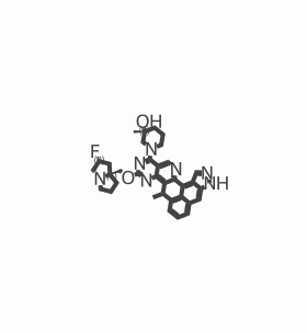 CC1c2c(ncc3c(N4CCC[C@@](C)(O)C4)nc(OC[C@@]45CCCN4C[C@H](F)C5)nc23)-c2c3cn[nH]c3cc3cccc1c23